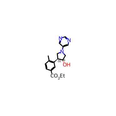 CCOC(=O)c1ccc(C)c([C@H]2CN(c3cncnc3)C[C@@H]2O)c1